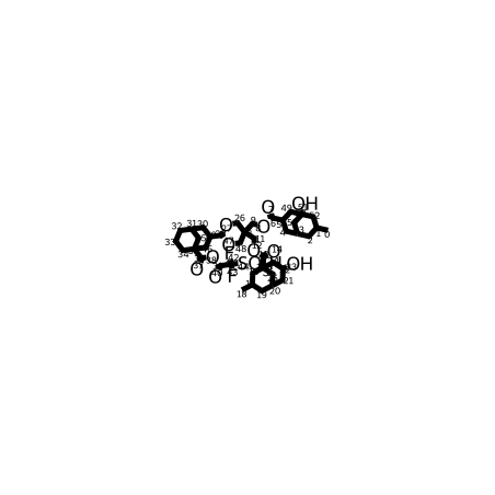 CC1CC2CC(C(=O)OCC3(COC(=O)C45CC(C)CC(CC(O)C4)C5)COC(C4CC5CCCC(C(=O)OC(=O)C(F)(F)S(=O)(=O)O)(C5)C4)OC3)CC(O)(C1)C2